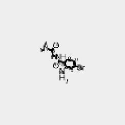 CN(C)C(=O)CNC(=O)c1ccc(Br)cc1N